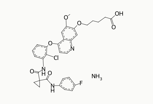 COc1cc2c(Oc3cccc(NC(=O)C4(C(=O)Nc5ccc(F)cc5)CC4)c3Cl)ccnc2cc1OCCCCC(=O)O.N